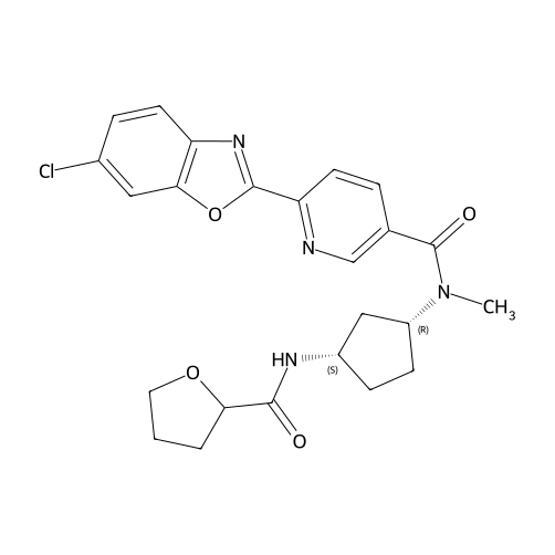 CN(C(=O)c1ccc(-c2nc3ccc(Cl)cc3o2)nc1)[C@@H]1CC[C@H](NC(=O)C2CCCO2)C1